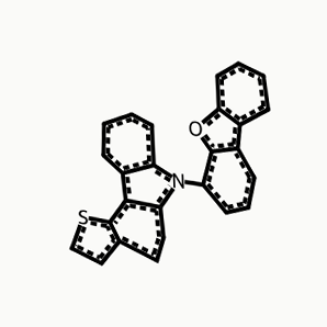 c1ccc2c(c1)oc1c(-n3c4ccccc4c4c5sccc5ccc43)cccc12